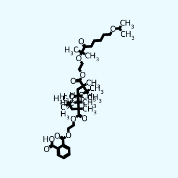 CC(C)OCCCCCC(=O)C(C)(C)OCCOC(=O)C(C)(CC(C)(C)C(C)(C)C(C)(CC(C)(C)C)C(=O)OCCOC(=O)c1ccccc1C(=O)O)C(C)(C)C